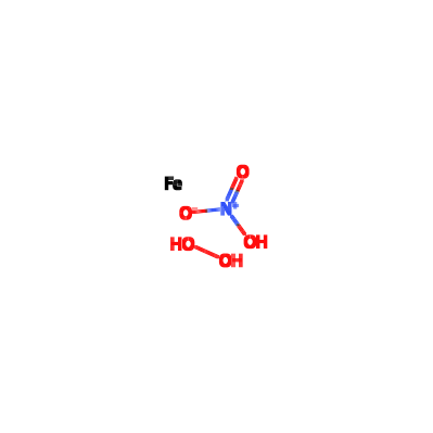 O=[N+]([O-])O.OO.[Fe]